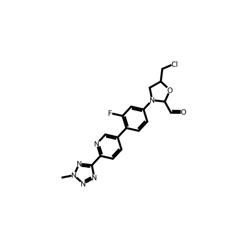 Cn1nnc(-c2ccc(-c3ccc(N4CC(CCl)OC4C=O)cc3F)cn2)n1